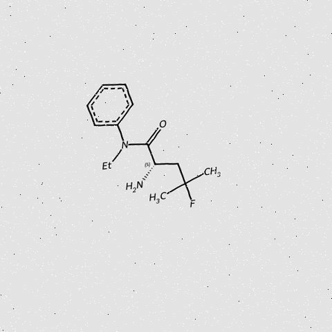 CCN(C(=O)[C@@H](N)CC(C)(C)F)c1ccccc1